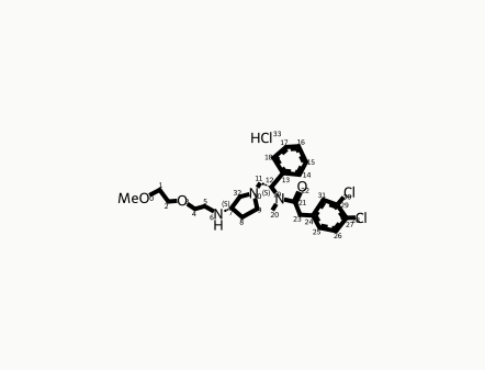 COCCOCCN[C@H]1CCN(C[C@H](c2ccccc2)N(C)C(=O)Cc2ccc(Cl)c(Cl)c2)C1.Cl